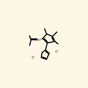 C[C](C)=[Zr+2][C]1=C(C2=CC=CC2)C(C)=C(C)C1C.[Cl-].[Cl-]